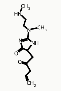 C=CCC(=O)CC1NC(N(C)CCNC)=NC1=O